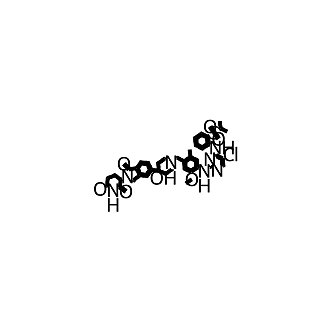 COc1cc(CN2CCC(O)(c3ccc4c(c3)CN(C3CCC(=O)NC3=O)C4=O)CC2)c(C)cc1Nc1ncc(Cl)c(Nc2ccccc2S(=O)(=O)C(C)C)n1